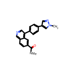 CNC(=O)c1ccc2cncc(-c3ccc(-c4cnn(C)c4)cc3)c2c1